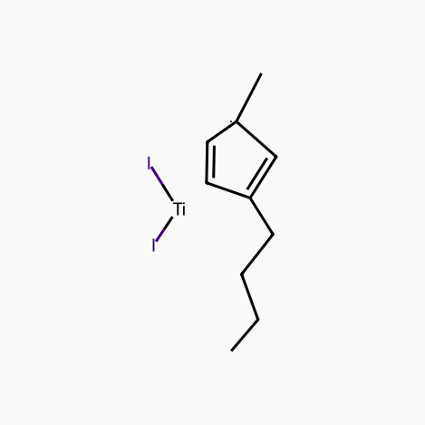 CCCCC1=C[C](C)C=C1.[I][Ti][I]